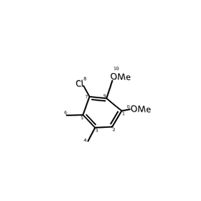 COc1cc(C)c(C)c(Cl)c1OC